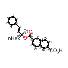 CCCCCCC(C=Cc1ccccc1)(CC)OC(=O)c1ccc2cc(C(=O)O)ccc2c1